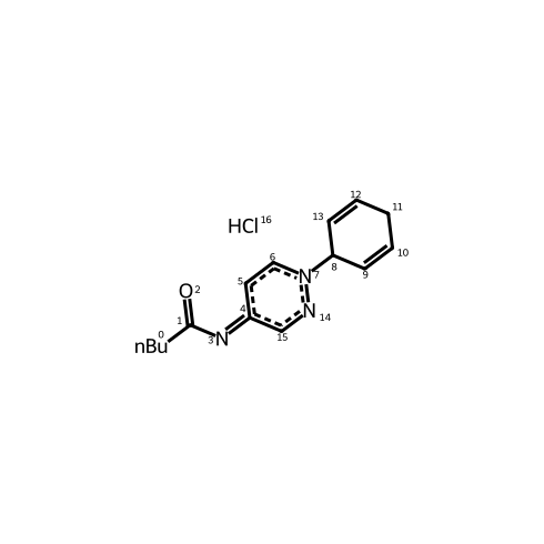 CCCCC(=O)N=c1ccn(C2C=CCC=C2)nc1.Cl